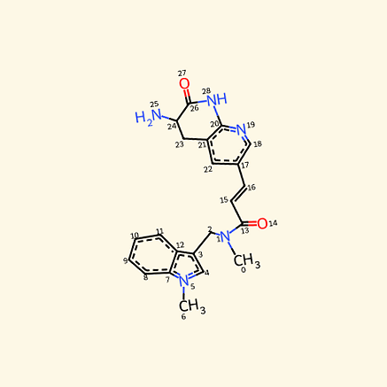 CN(Cc1cn(C)c2ccccc12)C(=O)C=Cc1cnc2c(c1)CC(N)C(=O)N2